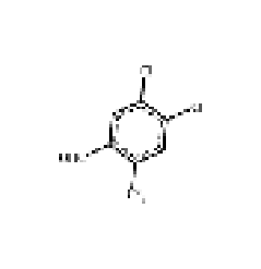 O=Cc1cc(Cl)c(Cl)cc1C(F)(F)F